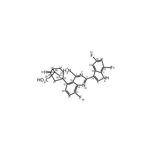 Nc1nc(-c2c[nH]c3c(F)cc(F)cc23)nc2c(F)ccc(C34CCC(CC3)[C@@H](C(=O)O)C4)c12